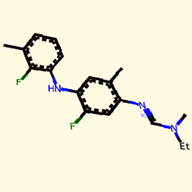 CCN(C)/C=N/c1cc(F)c(Nc2cccc(C)c2F)cc1C